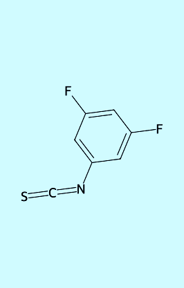 Fc1cc(F)cc(N=C=S)c1